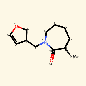 CNC1CCCCN(CC2C=COC2)C1=O